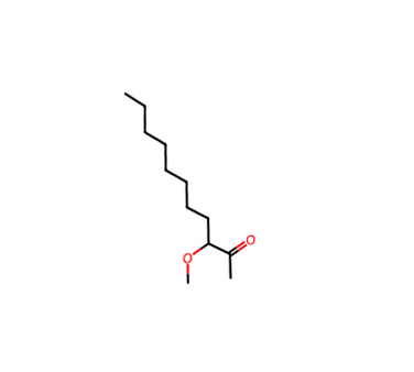 CCCCCCCCC(OC)C(C)=O